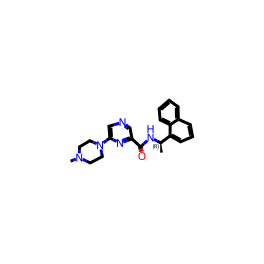 C[C@@H](NC(=O)c1cncc(N2CCN(C)CC2)n1)c1cccc2ccccc12